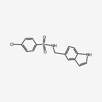 O=S(=O)(NCc1ccc2[nH]ccc2c1)c1ccc(Cl)cc1